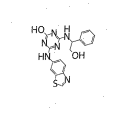 OCC(Nc1nc(O)nc(Nc2ccc3ncsc3c2)n1)c1ccccc1